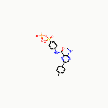 Cc1ccc(-c2cnc(N(C)C)c(C(=O)Nc3ccc(S(=O)(=O)OP(C)(=O)O)cc3)n2)cc1